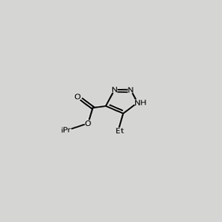 CCc1[nH]nnc1C(=O)OC(C)C